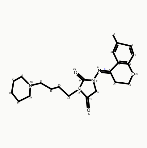 Cc1ccc2c(c1)/C(=N/N1CC(=O)N(CCCCN3CCCCC3)C1=O)CCO2